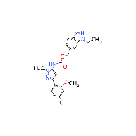 CCn1ncc2ccc(COC(=O)Nc3cc(-c4ccc(Cl)cc4OC)nn3C)cc21